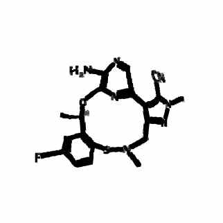 C[C@H]1Oc2nc(cnc2N)-c2c(nn(C)c2C#N)CN(C)Sc2ccc(F)cc21